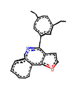 Cc1cc(C)cc(-c2nc3ccccc3c3occc23)c1